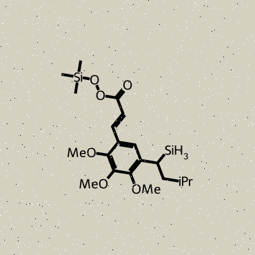 COc1c(C=CC(=O)OO[Si](C)(C)C)cc(C([SiH3])CC(C)C)c(OC)c1OC